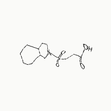 O=C(O)CCS(=O)(=O)N1CCC2CCCCC2C1